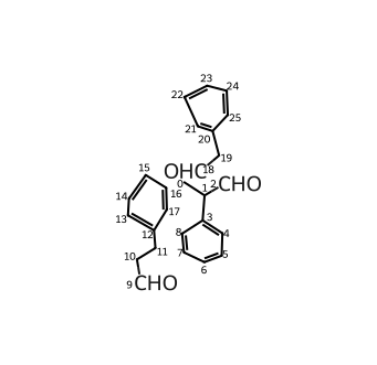 CC(C=O)c1ccccc1.O=CCCc1ccccc1.O=CCc1ccccc1